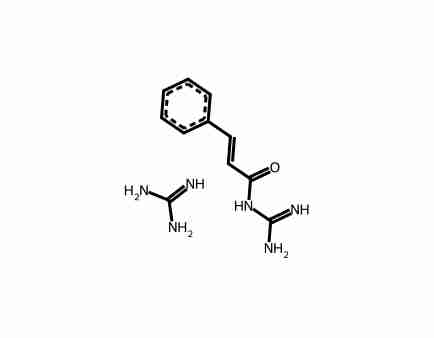 N=C(N)N.N=C(N)NC(=O)C=Cc1ccccc1